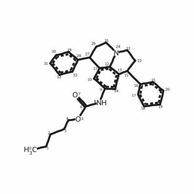 CCCCCOC(=O)Nc1cc2c3c(c1)C(c1ccccc1)CCN3CCC2c1ccccc1